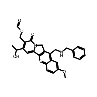 COc1ccc2nc3c(c(CNCc4ccccc4)c2c1)Cn1c-3cc(C(C)O)c(COC=O)c1=O